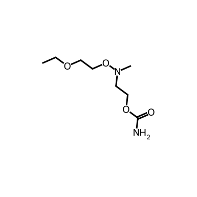 CCOCCON(C)CCOC(N)=O